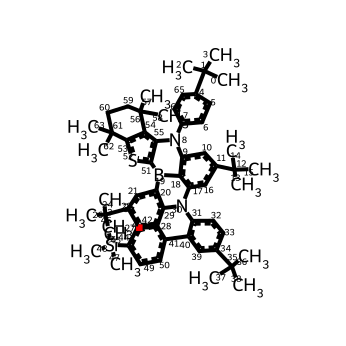 CC(C)(C)c1ccc(N2c3cc(C(C)(C)C)cc4c3B(c3cc(C(C)(C)C)ccc3N4c3ccc(C(C)(C)C)cc3-c3ccc([Si](C)(C)C)cc3)c3sc4c(c32)C(C)(C)CCC4(C)C)cc1